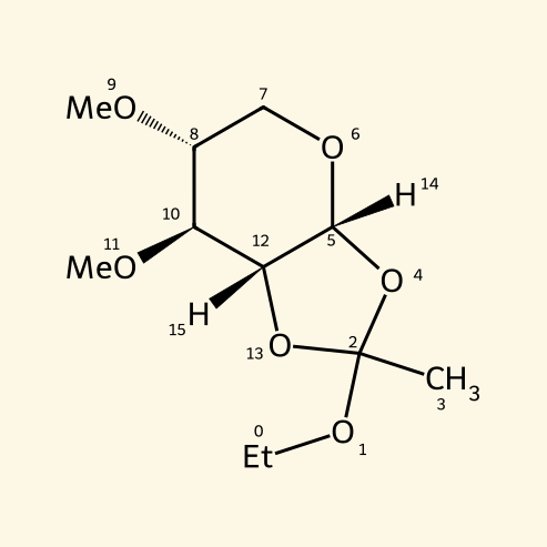 CCOC1(C)O[C@H]2OC[C@@H](OC)[C@H](OC)[C@H]2O1